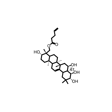 C=CCCC(=O)OC[C@]1(C)C2CC[C@]3(C)C(CC=C4C5CC(C)(C)[C@@H](O)[C@H](O)[C@]5(CC)[C@H](O)C[C@]43C)[C@@]2(C)CC[C@@H]1O